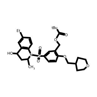 CCc1ccc2c(c1)C(O)CC(C)N2S(=O)(=O)c1ccc(OCC2CCOCC2)c(COC(=O)C(C)(C)C)c1